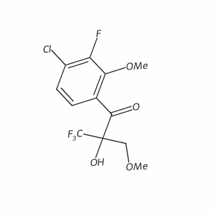 COCC(O)(C(=O)c1ccc(Cl)c(F)c1OC)C(F)(F)F